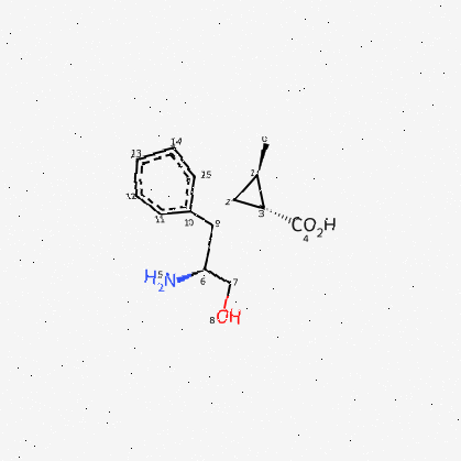 C[C@@H]1C[C@H]1C(=O)O.N[C@H](CO)Cc1ccccc1